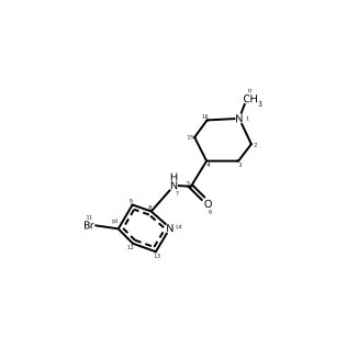 CN1CCC(C(=O)Nc2cc(Br)ccn2)CC1